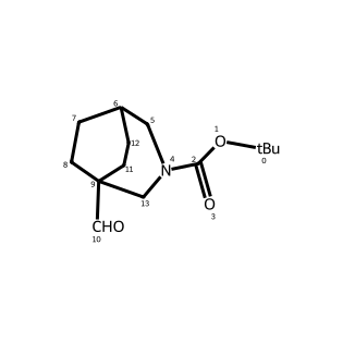 CC(C)(C)OC(=O)N1CC2CCC(C=O)(CC2)C1